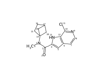 CN(C(=O)c1cc2ccnc(Cl)c2[nH]1)C12CCC(C1)C2